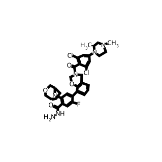 C[C@@H]1CN(C)CCN1c1cc(Cl)c(C(=O)N2COc3c(cccc3-c3cc(N4C5CCC4COC5)c(C(=O)NN)cc3F)C2)c(Cl)c1